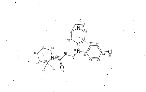 CN1C2CCC1c1c(n(CCC(=O)N3CCCCC3(C)C)c3ccc(Cl)cc13)C2